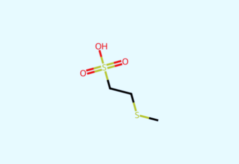 CSCCS(=O)(=O)O